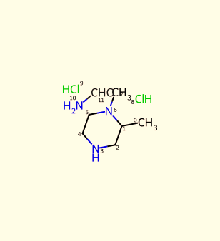 CC1CNCCN1C.Cl.Cl.NC=O